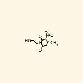 Cc1cc(O)n(CCO)c(=O)c1[N+](=O)[O-]